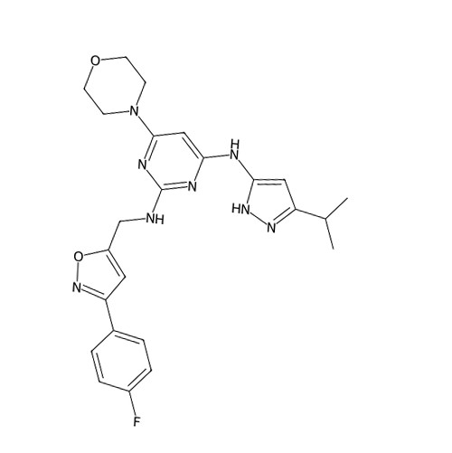 CC(C)c1cc(Nc2cc(N3CCOCC3)nc(NCc3cc(-c4ccc(F)cc4)no3)n2)[nH]n1